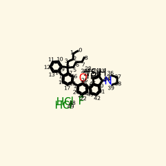 CCCCC1(CCCC)c2ccccc2-c2ccc(-c3cc(F)ccc3[O][Ti]([CH3])([CH3])(=[SiH2])[C]3=C(C)C(N4CCCC4)c4ccccc43)cc21.Cl.Cl